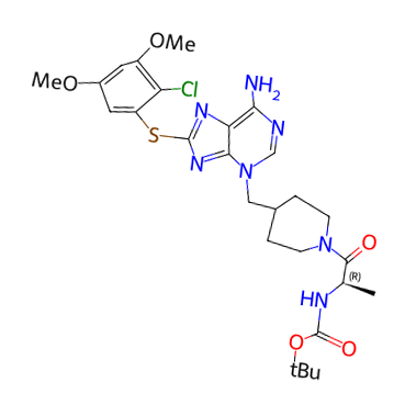 COc1cc(OC)c(Cl)c(Sc2nc3c(N)ncn(CC4CCN(C(=O)[C@@H](C)NC(=O)OC(C)(C)C)CC4)c-3n2)c1